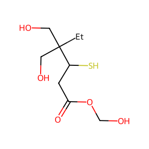 CCC(CO)(CO)C(S)CC(=O)OCO